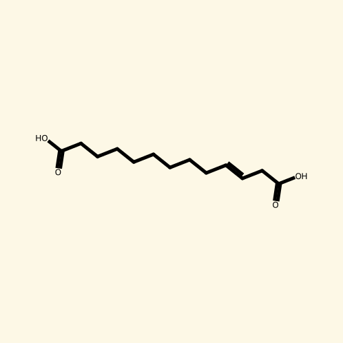 O=C(O)CC=CCCCCCCCCC(=O)O